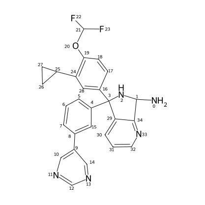 NC1NC(c2cccc(-c3cncnc3)c2)(c2ccc(OC(F)F)c(C3CC3)c2)c2cccnc21